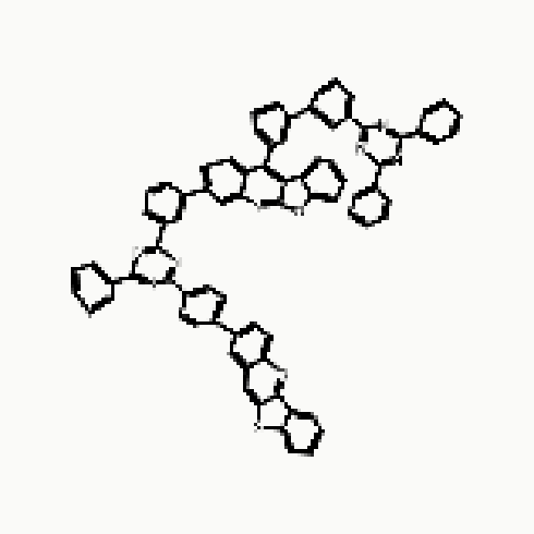 c1ccc(-c2nc(-c3ccccc3)nc(-c3cccc(-c4cccc(-c5c6ccc(-c7cccc(-c8nc(-c9ccccc9)nc(-c9ccc(-c%10ccc%11nc%12c(cc%11c%10)sc%10ccccc%10%12)cc9)n8)c7)cc6nc6oc7ccccc7c56)c4)c3)n2)cc1